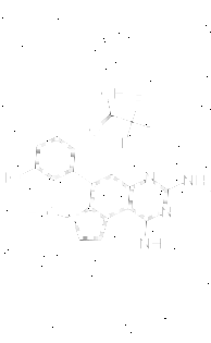 Cn1ccc2c3c(N)nc(N)nc3cc(-c3cccc(O)c3)c21.O=C(O)C(F)(F)F